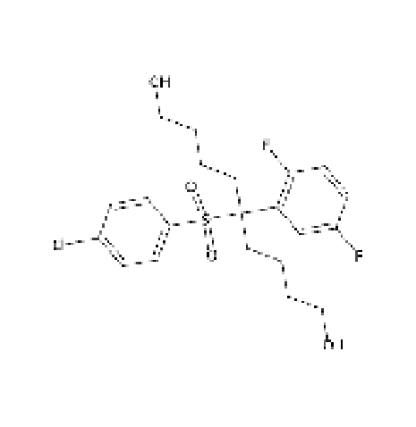 O=S(=O)(c1ccc(Cl)cc1)C(CCCCO)(CCCCO)c1cc(F)ccc1F